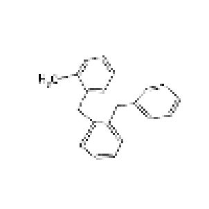 Cc1ccccc1Cc1ccccc1Cc1ccccc1